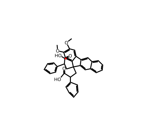 COc1cc2c(cc1OC)C(CC(C(=O)O)c1ccccc1)(CC(C(=O)O)c1ccccc1)c1cc3ccccc3cc1-2